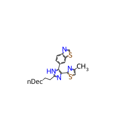 CCCCCCCCCCCCc1nc(-c2nc(C)cs2)c(-c2ccc3ncsc3c2)[nH]1